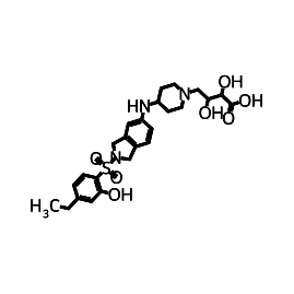 CCc1ccc(S(=O)(=O)N2Cc3ccc(NC4CCN(CC(O)C(O)C(=O)O)CC4)cc3C2)c(O)c1